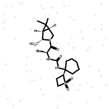 CC(C)(C)[C@H](NC(=O)NC1([C@@H]2CCS2(=O)=O)CCCCC1)C(=O)N1C[C@H]2[C@@H]([C@H]1C(=O)O)C2(C)C